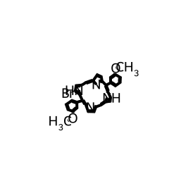 COc1cccc(-c2c3nc(cc4cc(Br)c([nH]4)c(-c4cccc(OC)c4)c4nc(cc5ccc2[nH]5)C=C4)C=C3)c1